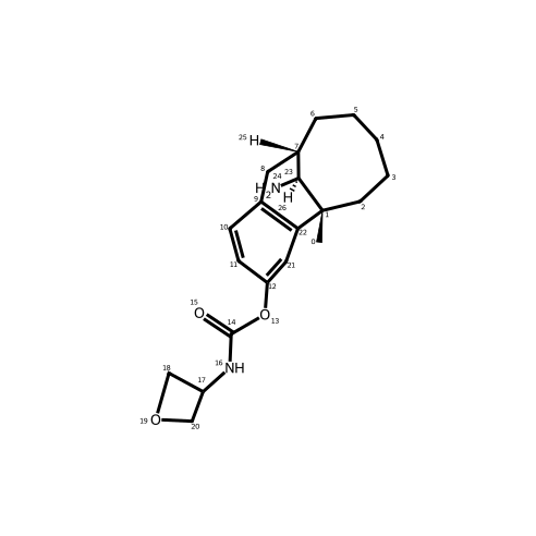 C[C@@]12CCCCC[C@@H](Cc3ccc(OC(=O)NC4COC4)cc31)[C@@H]2N